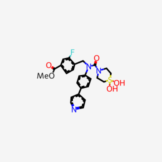 COC(=O)c1ccc(CN(C(=O)N2CCS(O)(O)CC2)c2ccc(-c3ccncc3)cc2)c(F)c1